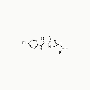 Cc1cc(OC(F)F)cnc1C(=O)Nc1ccc(Cl)cc1